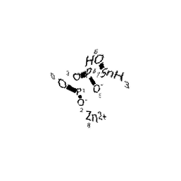 O=P[O-].O=P[O-].[OH][SnH3].[Zn+2]